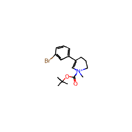 CC(C)(C)OC(=O)[N+]1(C)C=C(c2cccc(Br)c2)CCC1